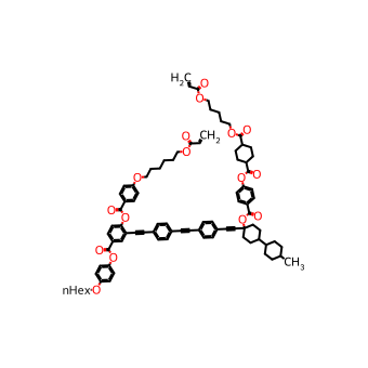 C=CC(=O)OCCCCCCOc1ccc(C(=O)Oc2ccc(C(=O)Oc3ccc(OCCCCCC)cc3)cc2C#Cc2ccc(C#Cc3ccc(C#CC4(OC(=O)c5ccc(OC(=O)C6CCC(C(=O)OCCCCCOC(=O)C=C)CC6)cc5)CCC(C5CCC(C)CC5)CC4)cc3)cc2)cc1